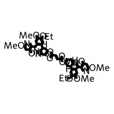 CCOc1cc2c(cc1OC)C(c1cnc(OC)cc1OC)=N[C@@H]1CC[C@@H](OC(=O)/C=C/C(=O)O[C@@H]3CC[C@H]4N=C(c5cnc(OC)cc5OC)c5cc(OC)c(OCC)cc5[C@H]4C3)C[C@H]21